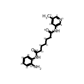 Cc1cncc(NC(=O)CCCCCC(=O)Nc2ccccc2N)c1